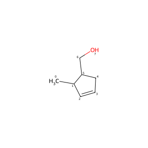 CC1C=CCC1CO